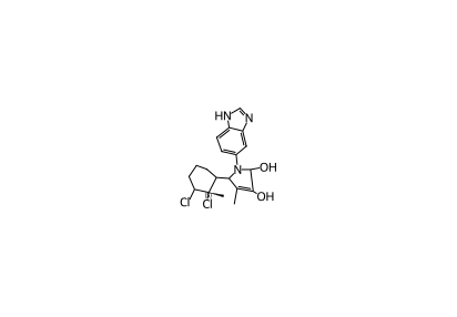 CC1=C(O)C(O)N(c2ccc3[nH]cnc3c2)C1C1CCCC(Cl)[C@@]1(C)Cl